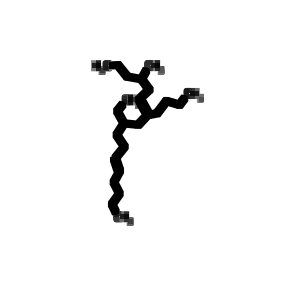 CCCCC=CCCC(CC)CC(=CCC(C)CCC)CCCC